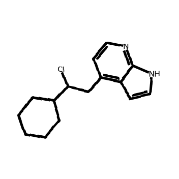 ClC(Cc1ccnc2[nH]ccc12)C1CCCCC1